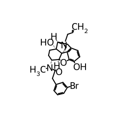 C=CCN1CC[C@]23c4c5ccc(O)c4O[C@H]2[C@H](N(C)C(=O)Cc2cccc(Br)c2)CC[C@@]3(O)[C@H]1C5